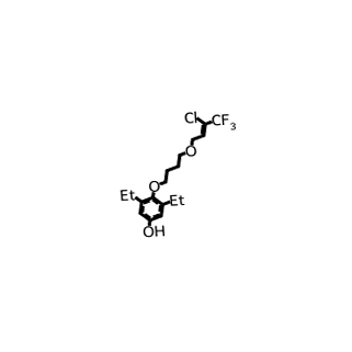 CCc1cc(O)cc(CC)c1OCCCCOC/C=C(\Cl)C(F)(F)F